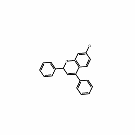 Clc1ccc2c(c1)OC(c1ccccc1)C=C2c1ccccc1